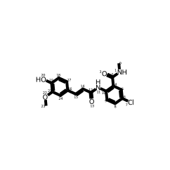 CNC(=O)c1cc(Cl)ccc1NC(=O)/C=C/c1ccc(O)c(OC)c1